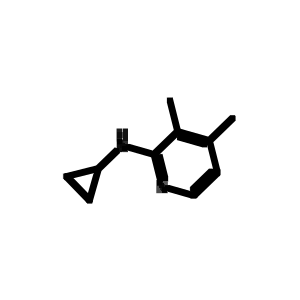 Cc1ccnc(NC2CC2)c1C